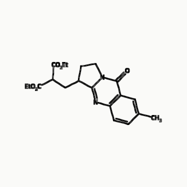 CCOC(=O)C(CC1CCn2c1nc1ccc(C)cc1c2=O)C(=O)OCC